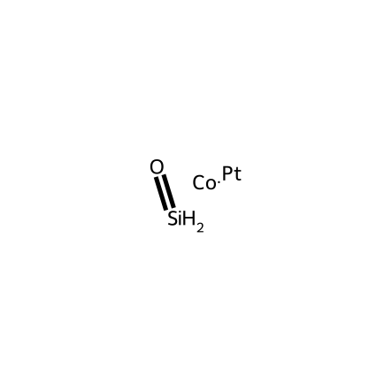 O=[SiH2].[Co].[Pt]